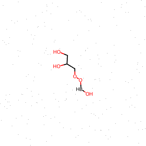 OBOOCC(O)CO